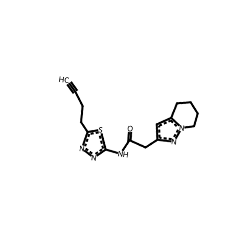 C#CCCc1nnc(NC(=O)Cc2cc3n(n2)CCCC3)s1